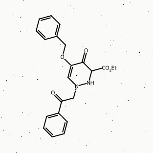 CCOC(=O)C1NN(CC(=O)c2ccccc2)C=C(OCc2ccccc2)C1=O